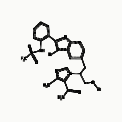 CCOCC(Cc1ccc2oc(-c3ccccc3NS(=O)(=O)C(F)(F)F)c(Br)c2c1)n1cnc(C)c1C(N)=O